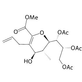 C=CCC1=C(C(=O)OC)O[C@@H]([C@H](OC(C)=O)[C@@H](COC(C)=O)OC(C)=O)[C@H](C)[C@H]1O